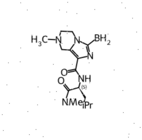 Bc1nc(C(=O)N[C@@H](CC(C)C)C(=O)NC)c2n1CCN(C)C2